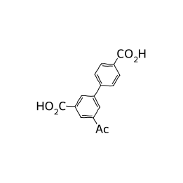 CC(=O)c1cc(C(=O)O)cc(-c2ccc(C(=O)O)cc2)c1